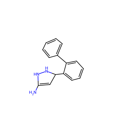 NC1=CC(c2ccccc2-c2ccccc2)NN1